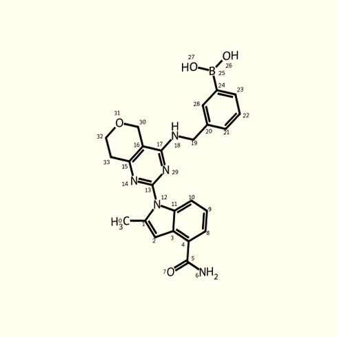 Cc1cc2c(C(N)=O)cccc2n1-c1nc2c(c(NCc3cccc(B(O)O)c3)n1)COCC2